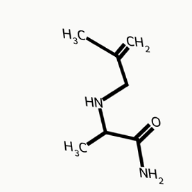 C=C(C)CNC(C)C(N)=O